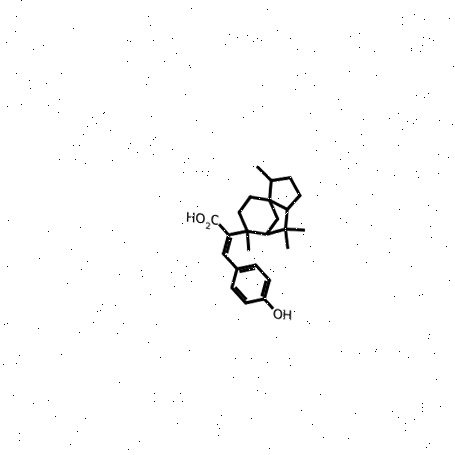 CC1CCC2C(C)(C)C3CC12CCC3(C)/C(=C\c1ccc(O)cc1)C(=O)O